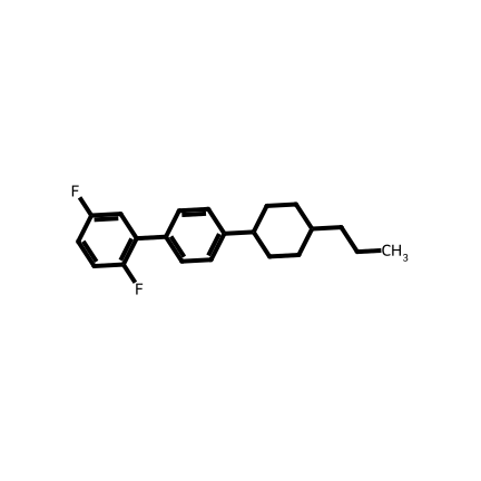 CCCC1CCC(c2ccc(-c3cc(F)ccc3F)cc2)CC1